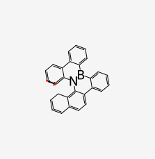 C1=CCc2c(ccc3c2N2B(c4ccccc4-3)c3ccccc3-c3ccc4ccc#cc4c32)C=1